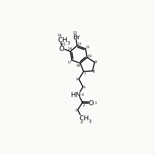 CCC(=O)NCCC1CCc2cc(Br)c(OC)cc21